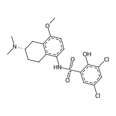 COc1ccc(NS(=O)(=O)c2cc(Cl)cc(Cl)c2O)c2c1C[C@@H](N(C)C)CC2